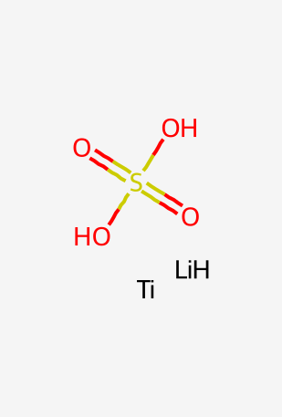 O=S(=O)(O)O.[LiH].[Ti]